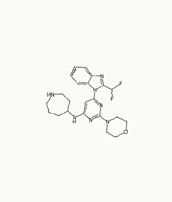 FC(F)c1nc2ccccc2n1-c1cc(NC2CCCNCC2)nc(N2CCOCC2)n1